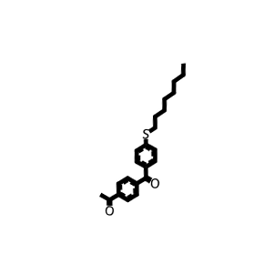 CCCCCCCCSc1ccc(C(=O)c2ccc(C(C)=O)cc2)cc1